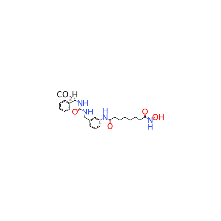 O=C(CCCCCCC(=O)Nc1cccc(CNC(=O)N[C@H](C(=O)O)c2ccccc2)c1)NO